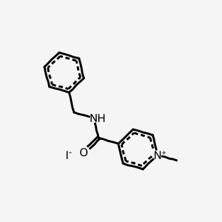 C[n+]1ccc(C(=O)NCc2ccccc2)cc1.[I-]